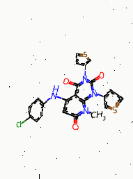 Cn1c(=O)cc(Nc2ccc(Cl)cc2)c2c(=O)n(-c3ccsc3)c(=O)n(-c3ccsc3)c21